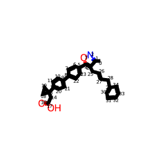 Cc1noc(-c2ccc(-c3ccc(C4(CC(=O)O)CC4)cc3)cc2)c1C/C=C/Cc1ccccc1